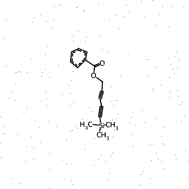 C[Si](C)(C)C#CC#CCOC(=O)c1ccccc1